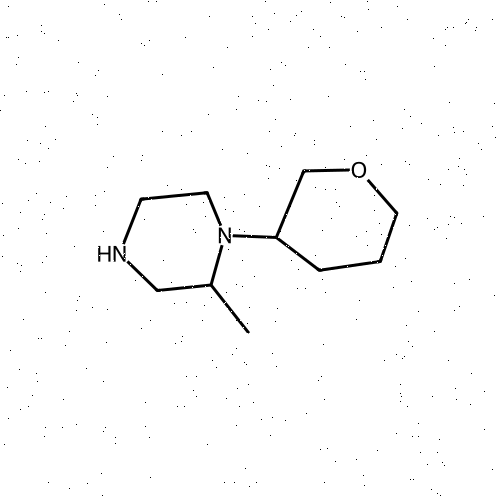 CC1CNCCN1C1CCCOC1